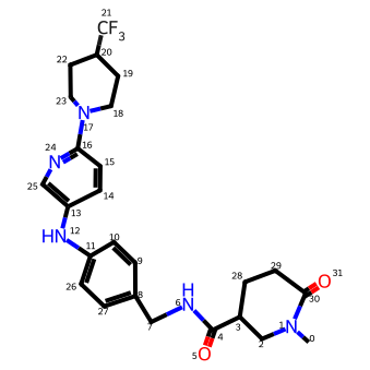 CN1CC(C(=O)NCc2ccc(Nc3ccc(N4CCC(C(F)(F)F)CC4)nc3)cc2)CCC1=O